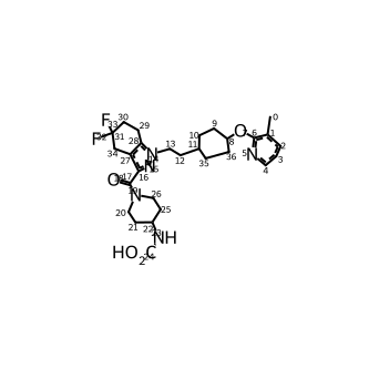 Cc1cccnc1OC1CCC(CCn2nc(C(=O)N3CCC(NC(=O)O)CC3)c3c2CCC(F)(F)C3)CC1